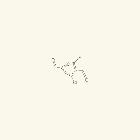 O=Cc1cc(F)c(C=O)c(Cl)c1